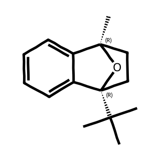 CC(C)(C)[C@@]12CC[C@@](C)(O1)c1ccccc12